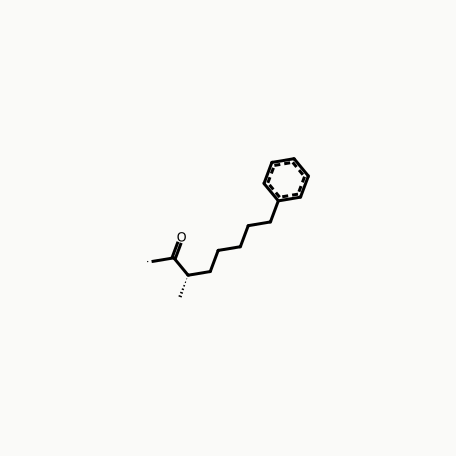 [CH2]C(=O)[C@@H](C)CCCCCc1ccccc1